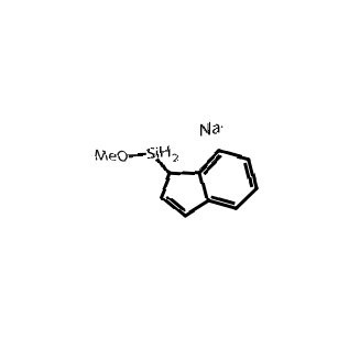 CO[SiH2]C1C=Cc2ccccc21.[Na]